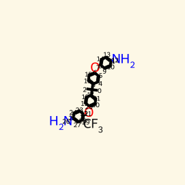 CC(C)(c1ccc(Oc2ccc(N)cc2)cc1)c1ccc(Oc2ccc(N)cc2C(F)(F)F)cc1